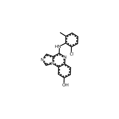 Cc1cccc(Cl)c1Nc1nc2ccc(O)cc2n2cncc12